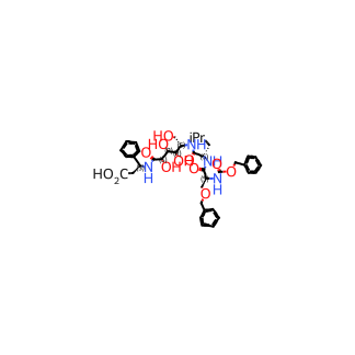 CC(C)C[C@H](NC(=O)[C@H](COCc1ccccc1)NC(=O)OCc1ccccc1)C(=O)N[C@@H](CO)[C@@H](O)[C@@H](O)[C@H](O)C(=O)N[C@@H](CC(=O)O)c1ccccc1